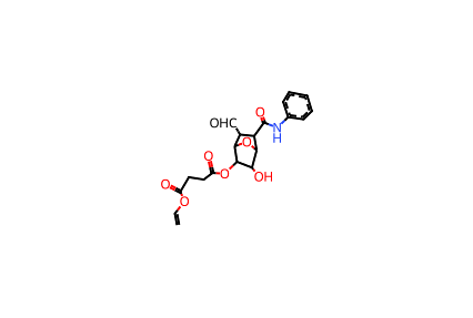 C=COC(=O)CCC(=O)OC1C(O)C2OC1C(C=O)C2C(=O)Nc1ccccc1